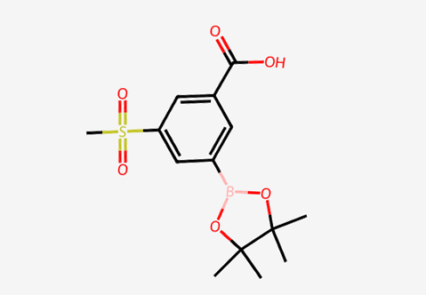 CC1(C)OB(c2cc(C(=O)O)cc(S(C)(=O)=O)c2)OC1(C)C